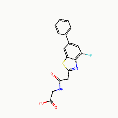 O=C(O)CNC(=O)Cc1nc2c(F)cc(-c3ccccc3)cc2s1